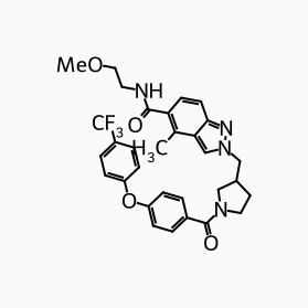 COCCNC(=O)c1ccc2nn(CC3CCN(C(=O)c4ccc(Oc5ccc(C(F)(F)F)cc5)cc4)C3)cc2c1C